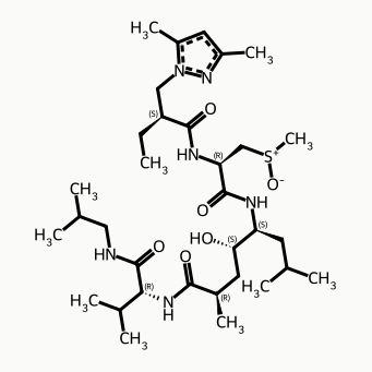 CC[C@@H](Cn1nc(C)cc1C)C(=O)N[C@@H](C[S+](C)[O-])C(=O)N[C@@H](CC(C)C)[C@@H](O)C[C@@H](C)C(=O)N[C@@H](C(=O)NCC(C)C)C(C)C